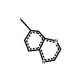 Ic1ccc2nccnc2c1